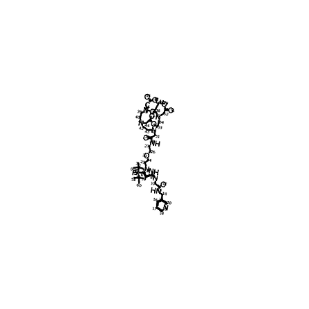 CC(C)(C)[Si](F)(c1cc(NCC(=O)NCc2cccnc2)nn1CCOCCNC(=O)CN1CCN2CCN3CCN(CC1)CC(=O)[O][Lu]([O]C(=O)C2)[O]C(=O)C3)C(C)(C)C